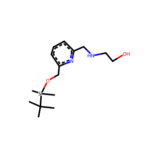 CC(C)(C)[Si](C)(C)OCc1cccc(CNCCO)n1